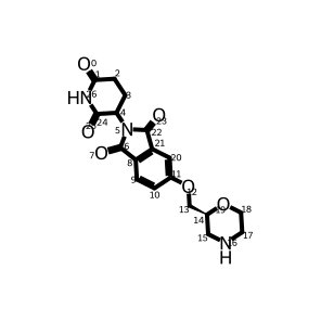 O=C1CCC(N2C(=O)c3ccc(OC[C@@H]4CNCCO4)cc3C2=O)C(=O)N1